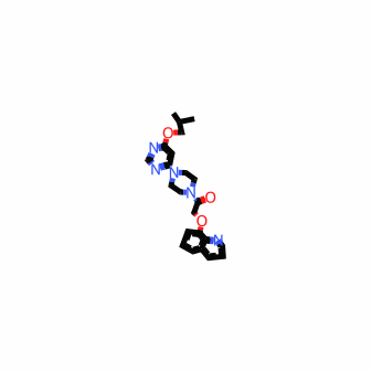 CC(C)COc1cc(N2CCN(C(=O)COc3cccc4cccnc34)CC2)ncn1